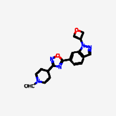 O=CN1CCC(c2noc(-c3ccc4cnn(C5COC5)c4c3)n2)CC1